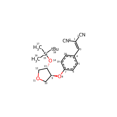 [C-]#[N+]/C(C#N)=C\c1ccc(O[C@H]2COC[C@@H]2O[Si](C)(C)C(C)(C)C)cc1